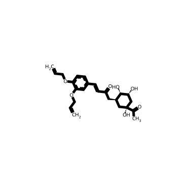 C=CCOc1ccc(/C=C/C(=O)C[C@@H]2C[C@](O)(C(C)=O)C[C@@H](O)[C@H]2O)cc1OCC=C